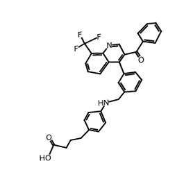 O=C(O)CCCc1ccc(NCc2cccc(-c3c(C(=O)c4ccccc4)cnc4c(C(F)(F)F)cccc34)c2)cc1